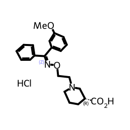 COc1cccc(/C(=N\OCCN2CCC[C@@H](C(=O)O)C2)c2ccccc2)c1.Cl